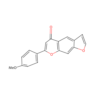 COc1ccc(-c2cc(=O)c3cc4ccoc4cc3o2)cc1